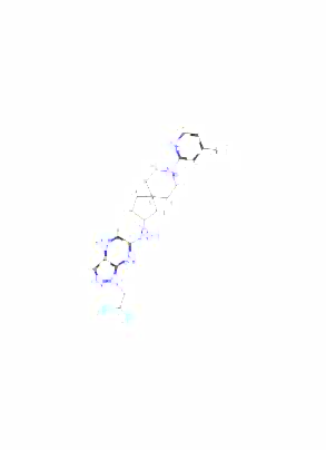 FC(F)Cn1ncc2ncc(NC3CCC4(CCN(c5cc(C(F)(F)F)ccn5)CC4)C3)nc21